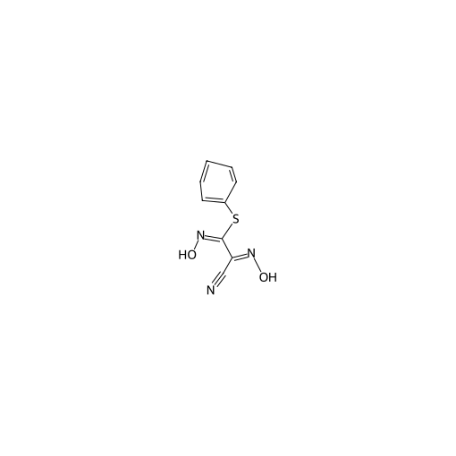 N#CC(=NO)C(=NO)Sc1ccccc1